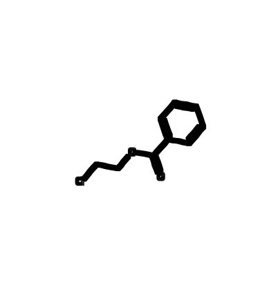 O=C(OCCCl)c1ccccc1